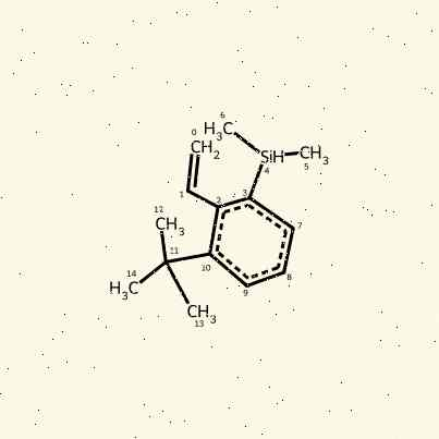 C=Cc1c([SiH](C)C)cccc1C(C)(C)C